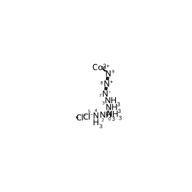 N.N.N.N.N.[Cl-].[Cl-].[N-]=[N+]=[N][Co+2]